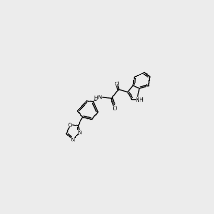 O=C(Nc1ccc(-c2nnco2)cc1)C(=O)c1c[nH]c2ccccc12